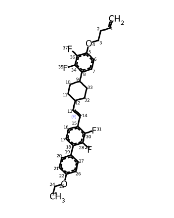 C=CCCOc1ccc(C2CCC(/C=C/c3ccc(-c4ccc(OCC)cc4)c(F)c3F)CC2)c(F)c1F